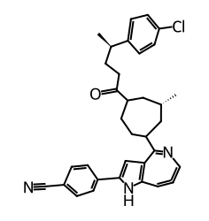 C[C@H]1CC(C(=O)CC[C@@H](C)c2ccc(Cl)cc2)CCC(C2=NC=C=Cc3[nH]c(-c4ccc(C#N)cc4)cc32)C1